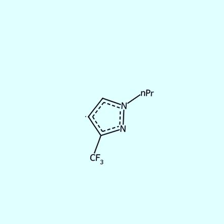 CCCn1c[c]c(C(F)(F)F)n1